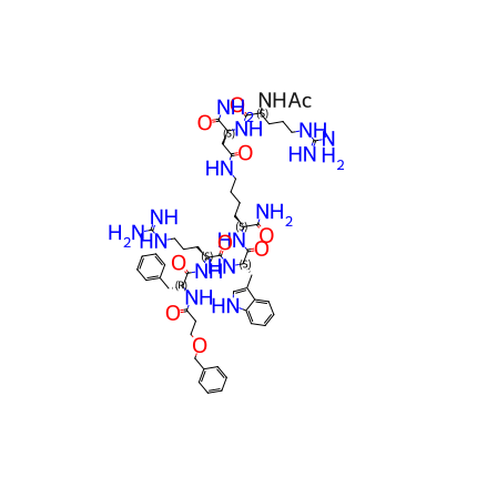 CC(=O)N[C@@H](CCCNC(=N)N)C(=O)N[C@@H](CC(=O)NCCCC[C@H](NC(=O)[C@H](Cc1c[nH]c2ccccc12)NC(=O)[C@H](CCCNC(=N)N)NC(=O)[C@@H](Cc1ccccc1)NC(=O)CCOCc1ccccc1)C(N)=O)C(N)=O